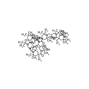 CC1(C)CC(C)(C(=O)N(CC(O)CN2C(C)(C)CC(C)(C(=O)N(CC(O)CN(C(=O)C3(C)CC(C)(C)N(CC(O)CN4C(=O)C5(CC(C)(C)NC(C)(C)C5)OC4(C)C)C(C)(C)C3)C(C)(C)O)C(C)(C)O)CC2(C)C)C(C)(C)O)CC(C)(C)N1